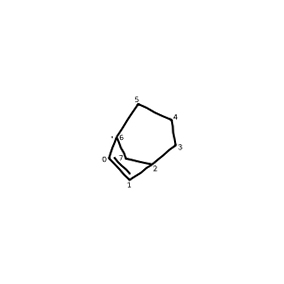 C1=CC2CCC[C]1C2